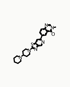 Cn1cnc2ccc(-c3cc4sc(N5CCC(N6CCCCC6)CC5)nc4cn3)cc2c1=O